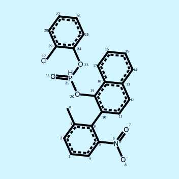 Cc1cccc([N+](=O)[O-])c1-c1ccc2ccccc2c1O[PH](=O)Oc1ccccc1Cl